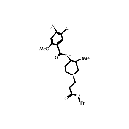 COc1cc(N)c(Cl)cc1C(=O)NC1CCN(CCC(=O)OC(C)C)CC1OC